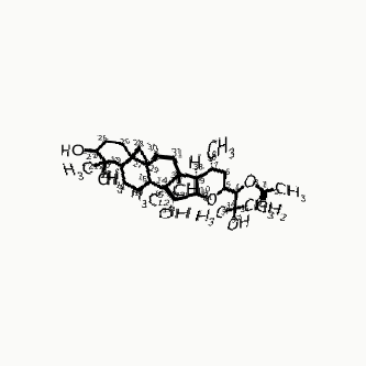 C=C(C)OC(C1C[C@@H](C)[C@H]2C(O1)[C@H](O)[C@@]1(C)C3CC[C@H]4C(C)(C)C(O)CCC45CC35CCC21C)C(C)(C)O